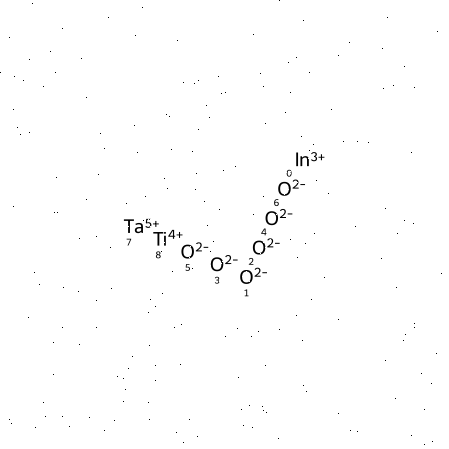 [In+3].[O-2].[O-2].[O-2].[O-2].[O-2].[O-2].[Ta+5].[Ti+4]